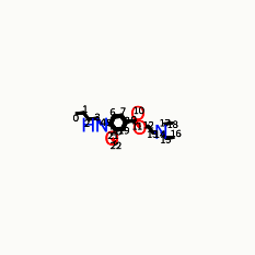 CCCCNc1ccc(C(=O)OCCN(CC)CC)cc1OC